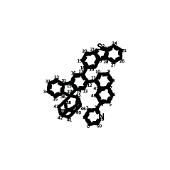 c1ccc(-c2ccc3cccc(-c4cc5c(cc4-c4ccc6sc7ccccc7c6c4)-c4ccccc4C54C5CC6CC(C5)CC4C6)c3c2)nc1